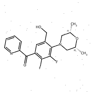 C[C@@H]1CN(c2c(CO)cc(C(=O)c3ccccn3)c(F)c2F)C[C@H](C)O1